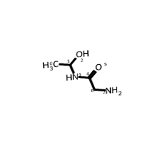 CC(O)NC(=O)CN